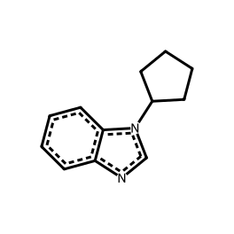 c1ccc2c(c1)ncn2C1CCCC1